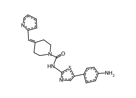 Nc1ccc(-c2cnc(NC(=O)N3CCC(=Cc4ccccn4)CC3)s2)cc1